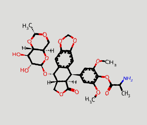 COc1cc([C@@H]2c3cc4c(cc3[C@@H](O[C@@H]3O[C@@H]5CO[C@@H](C)O[C@H]5[C@H](O)[C@H]3O)[C@H]3COC(=O)[C@H]23)OCO4)cc(OC)c1OC(=O)C(C)N